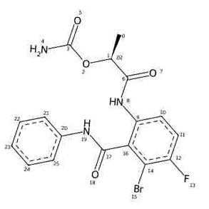 C[C@H](OC(N)=O)C(=O)Nc1ccc(F)c(Br)c1C(=O)Nc1ccccc1